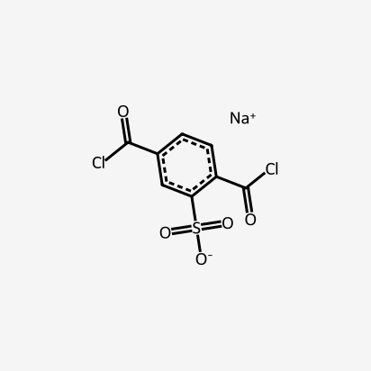 O=C(Cl)c1ccc(C(=O)Cl)c(S(=O)(=O)[O-])c1.[Na+]